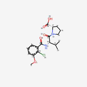 COc1cccc(C(=O)N[C@H](C(=O)N2CCC[C@H]2C(=O)O)C(C)C)c1Cl